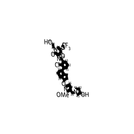 COc1nc(O[C@H]2CCc3c(-c4cccc(-c5nc6c(=O)n(CCO)cc(OC(F)(F)F)c6o5)c4Cl)cccc32)ccc1CN1CC[C@@H](O)C1